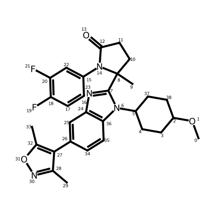 COC1CCC(n2c(C3(C)CCC(=O)N3c3ccc(F)c(F)c3)nc3cc(-c4c(C)noc4C)ccc32)CC1